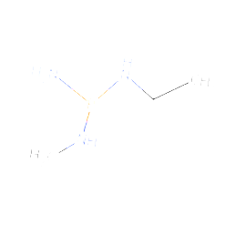 CCNP(N)NC